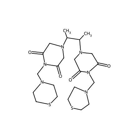 CC(C(C)N1CC(=O)N(CN2CCSCC2)C(=O)C1)N1CC(=O)N(CN2CCSCC2)C(=O)C1